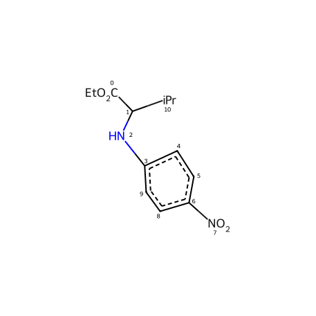 CCOC(=O)C(Nc1ccc([N+](=O)[O-])cc1)C(C)C